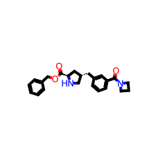 O=C(OCc1ccccc1)[C@H]1C[C@H](Cc2cccc(C(=O)N3CCC3)c2)CN1